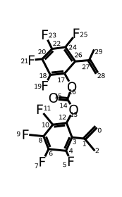 C=C(C)c1c(F)c(F)c(F)c(F)c1OC(=O)Oc1c(F)c(F)c(F)c(F)c1C(=C)C